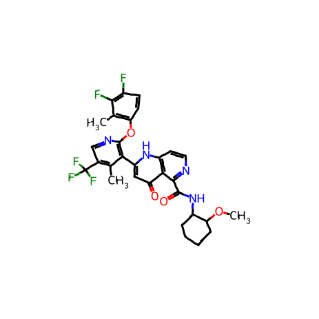 COC1CCCCC1NC(=O)c1nccc2[nH]c(-c3c(Oc4ccc(F)c(F)c4C)ncc(C(F)(F)F)c3C)cc(=O)c12